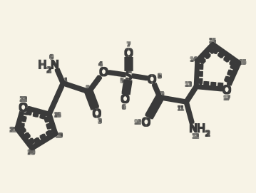 NC(C(=O)OS(=O)(=O)OC(=O)C(N)c1ccco1)c1ccco1